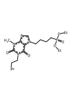 CCOP(=O)(CCCCn1cnc2c1c(=O)n(CCC(C)C)c(=O)n2C)OCC